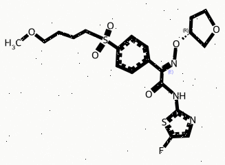 COCCCCS(=O)(=O)c1ccc(/C(=N\O[C@@H]2CCOC2)C(=O)Nc2ncc(F)s2)cc1